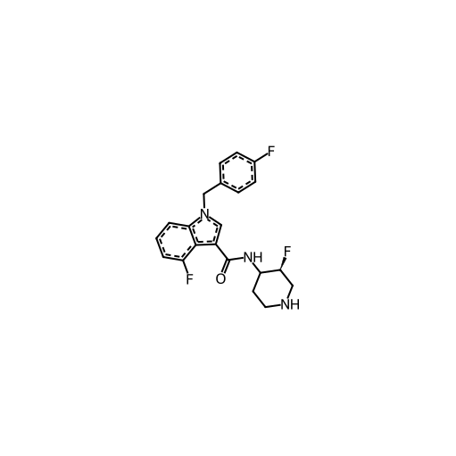 O=C(NC1CCNC[C@@H]1F)c1cn(Cc2ccc(F)cc2)c2cccc(F)c12